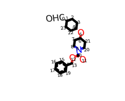 O=C[C@H]1CC[C@H](OC2CCN(C(=O)OCc3ccccc3)CC2)CC1